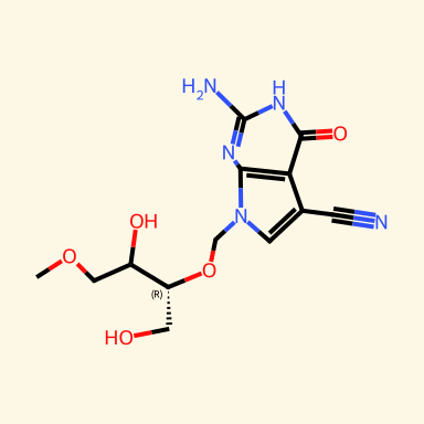 COCC(O)[C@@H](CO)OCn1cc(C#N)c2c(=O)[nH]c(N)nc21